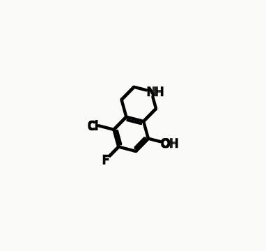 Oc1cc(F)c(Cl)c2c1CNCC2